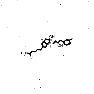 Cc1cccc(C[C@H](O)/C=C/[C@@H]2[C@H]3CC(CCCCC(N)=O)=C[C@H]3C[C@H]2O)c1